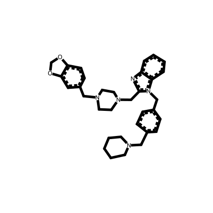 c1ccc2c(c1)nc(CN1CCN(Cc3ccc4c(c3)OCO4)CC1)n2Cc1ccc(CN2CCCCC2)cc1